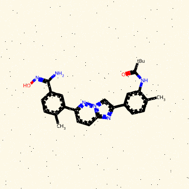 Cc1ccc(-c2cn3nc(-c4cc(/C(N)=N\O)ccc4C)ccc3n2)cc1NC(=O)C(C)(C)C